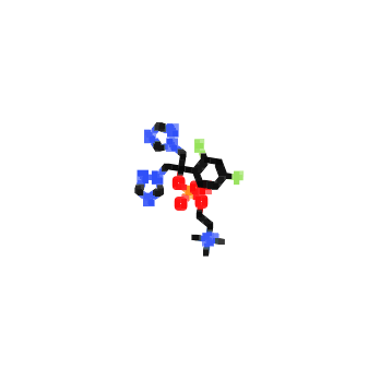 C[N+](C)(C)CCOP(=O)(O)OC(Cn1cncn1)(Cn1cncn1)c1ccc(F)cc1F